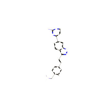 CN(C)Cc1ccc(/C=C/c2n[nH]c3cc(-c4ccnc(N)n4)ccc23)cc1F